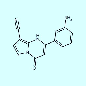 N#Cc1cnn2c(=O)cc(-c3cccc(N)c3)[nH]c12